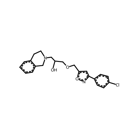 OC(COCc1cc(-c2ccc(Cl)cc2)no1)CN1CCc2ccccc2C1